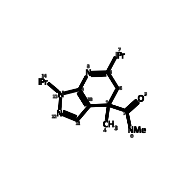 CNC(=O)C1(C)CC(C(C)C)=Nc2c1cnn2C(C)C